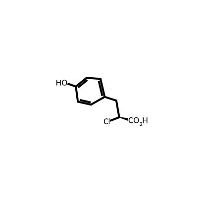 O=C(O)[C@@H](Cl)Cc1ccc(O)cc1